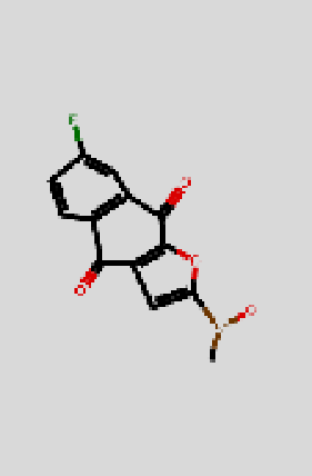 C[S+]([O-])c1cc2c(o1)C(=O)c1cc(F)ccc1C2=O